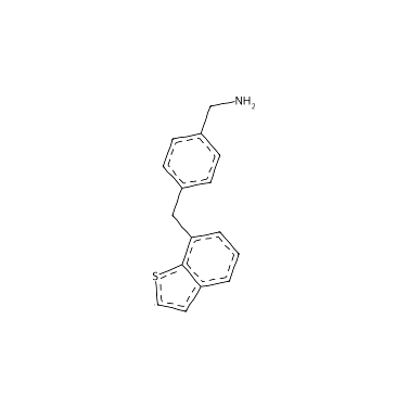 NCc1ccc(Cc2cccc3c[c]sc23)cc1